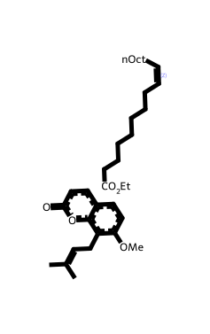 CCCCCCCC/C=C\CCCCCCCC(=O)OCC.COc1ccc2ccc(=O)oc2c1CC=C(C)C